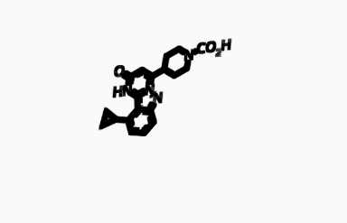 O=C(O)N1CCC(c2cc(=O)[nH]c3c4c(C5CC5)cccc4nn23)CC1